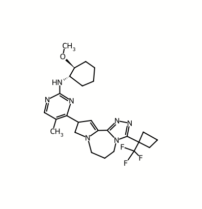 CO[C@H]1CCCC[C@@H]1Nc1ncc(C)c(C2C=C3c4nnc(C5(C(F)(F)F)CCC5)n4CCCN3C2)n1